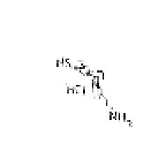 Cl.NCCCCCNC(=O)[C@@H]1CS[C@@H](CS)C1